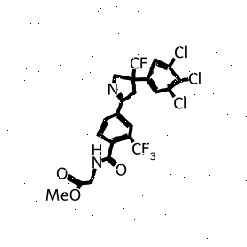 COC(=O)CNC(=O)c1ccc(C2=NCC(c3cc(Cl)c(Cl)c(Cl)c3)(C(F)(F)F)C2)cc1C(F)(F)F